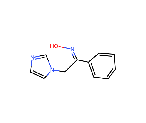 O/N=C(\Cn1ccnc1)c1ccccc1